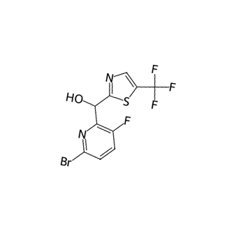 OC(c1ncc(C(F)(F)F)s1)c1nc(Br)ccc1F